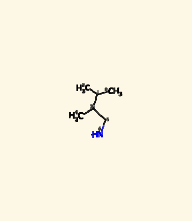 CC(C)C(C)C[NH]